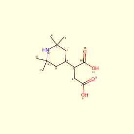 CC1(C)CC(C(CC(=O)O)C(=O)O)CC(C)(C)N1